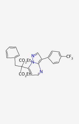 CCOC(=O)C(Cc1ccccc1)(C(=O)OCC)c1ccnc2c(-c3ccc(C(F)(F)F)cc3)cnn12